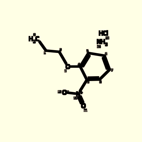 CCCOc1ccccc1[N+](=O)[O-].Cl.N